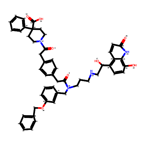 O=C(Cc1ccc(CC(=O)N(CCCNCC(O)c2ccc(O)c3[nH]c(=O)ccc23)Cc2cccc(OCc3ccccc3)c2)cc1)N1CCC(C(=O)O)(c2ccccc2)CC1